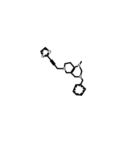 CN1CN(Cc2ccccc2)CC2=C1CCN(CC#Cc1ncco1)C2